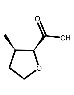 C[C@@H]1CCO[C@@H]1C(=O)O